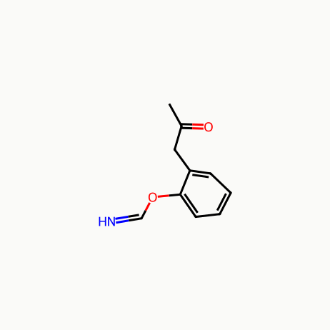 CC(=O)Cc1ccccc1OC=N